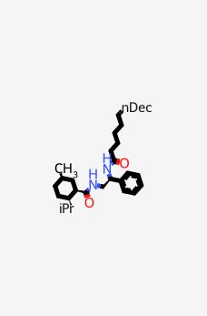 CCCCCCCCCCCCCCCC(=O)N[C@H](CNC(=O)[C@@H]1C[C@H](C)CC[C@H]1C(C)C)c1ccccc1